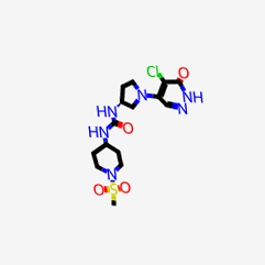 CS(=O)(=O)N1CCC(NC(=O)N[C@@H]2CCN(c3cn[nH]c(=O)c3Cl)C2)CC1